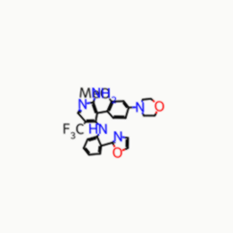 COc1cc(N2CCOCC2)ccc1-c1c(N)ncc(C(F)(F)F)c1Nc1ccccc1-c1ncco1